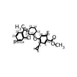 COC(=O)c1cc(C2CC2)c(O[C@@H]2CCCN(C(C)c3ccc(F)cc3Cl)C2)cc1F